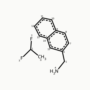 CC(F)F.NCc1ccc2ccccc2c1